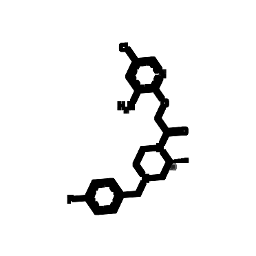 C[C@@H]1CN(Cc2ccc(F)cc2)CCN1C(=O)COc1ncc(Cl)cc1N